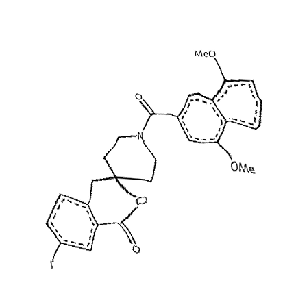 COc1cc(C(=O)N2CCC3(CC2)Cc2ccc(I)cc2C(=O)O3)cc2c(OC)cccc12